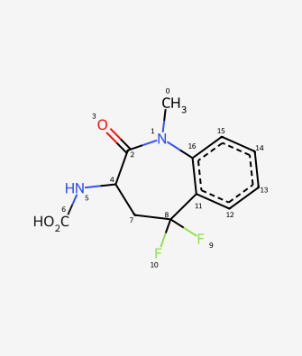 CN1C(=O)C(NC(=O)O)CC(F)(F)c2ccccc21